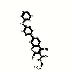 O=C(O)CNC(=O)c1c(O)c2ccc(-c3ccc(Oc4ccccc4)cc3)cc2oc1=O